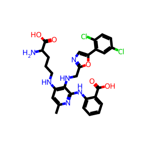 Cc1cc(NCCCC(N)C(=O)O)c(NCc2ncc(-c3cc(Cl)ccc3Cl)o2)c(Nc2ccccc2C(=O)O)n1